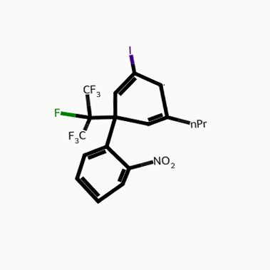 CCCC1=CC(c2ccccc2[N+](=O)[O-])(C(F)(C(F)(F)F)C(F)(F)F)C=C(I)[CH]1